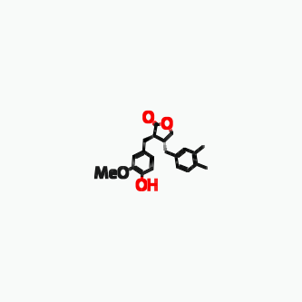 COc1cc(C[C@H]2C(=O)OC[C@@H]2Cc2ccc(C)c(C)c2)ccc1O